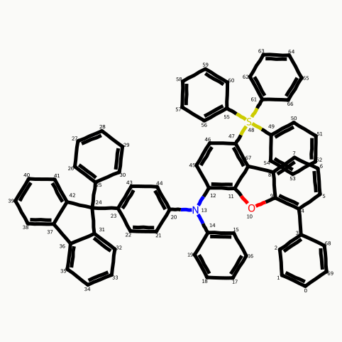 c1ccc(-c2cccc3c2oc2c(N(c4ccccc4)c4ccc(C5(c6ccccc6)c6ccccc6-c6ccccc65)cc4)ccc(S(c4ccccc4)(c4ccccc4)c4ccccc4)c23)cc1